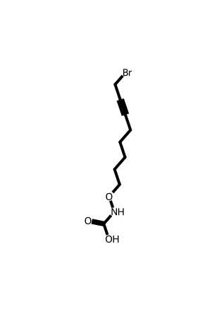 O=C(O)NOCCCCCC#CCBr